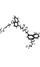 CCCOc1ccc(/C=C/C(=O)CC(=O)/C=C/c2ccc(OCCN)c3ccccc23)c2ccccc12